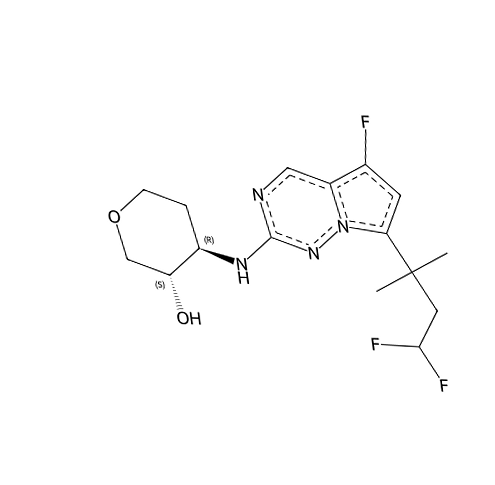 CC(C)(CC(F)F)c1cc(F)c2cnc(N[C@@H]3CCOC[C@H]3O)nn12